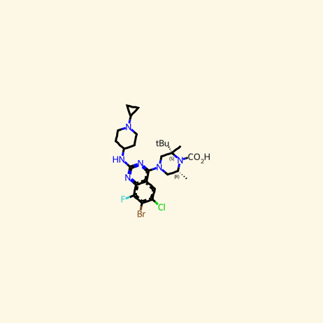 C[C@@H]1CN(c2nc(NC3CCN(C4CC4)CC3)nc3c(F)c(Br)c(Cl)cc23)C[C@](C)(C(C)(C)C)N1C(=O)O